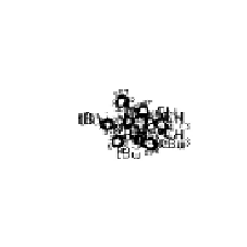 CC(C)(C)c1ccc(N2c3ccc(C(C)(C)C)cc3B3c4sc5ccc(C(C)(C)C)cc5c4N(c4ccc5c(c4)C(C)(C)CC5(C)C)c4c3c2nc2c4c3ccccc3n2-c2ccccc2)cc1